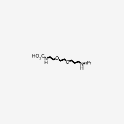 CCCNCCCOCCOCCNC(=O)O